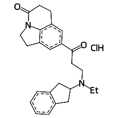 CCN(CCC(=O)c1cc2c3c(c1)CCN3C(=O)CC2)C1Cc2ccccc2C1.Cl